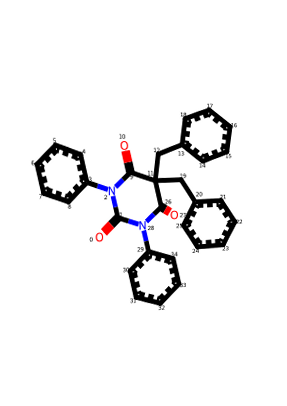 O=C1N(c2ccccc2)C(=O)C(Cc2ccccc2)(Cc2ccccc2)C(=O)N1c1ccccc1